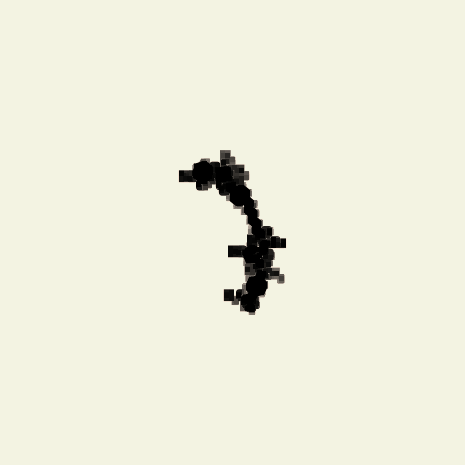 Cc1ncsc1-c1ccc([C@H](C)NC(=O)[C@@H]2C[C@@H](O)CN2C(=O)[C@@H](NC(=O)CCCCCCc2ccc(C(=O)N[C@H]3C(C)(C)[C@H](Oc4ccc(C#N)c(Cl)c4)C3(C)C)cc2)C(C)(C)C)cc1